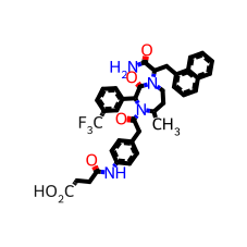 CC1CCN(C(Cc2cccc3ccccc23)C(N)=O)C(=O)C(c2cccc(C(F)(F)F)c2)N1C(=O)Cc1ccc(NC(=O)CCC(=O)O)cc1